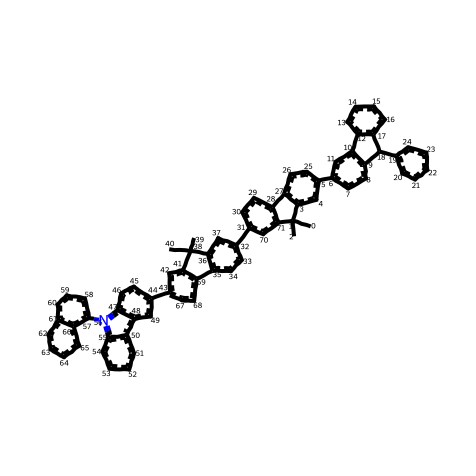 CC1(C)c2cc(-c3ccc4c(c3)-c3ccccc3C4c3ccccc3)ccc2-c2ccc(-c3ccc4c(c3)C(C)(C)c3cc(-c5ccc6c(c5)c5ccccc5n6-c5cccc6ccccc56)ccc3-4)cc21